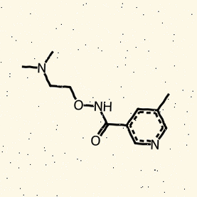 Cc1cncc(C(=O)NOCCN(C)C)c1